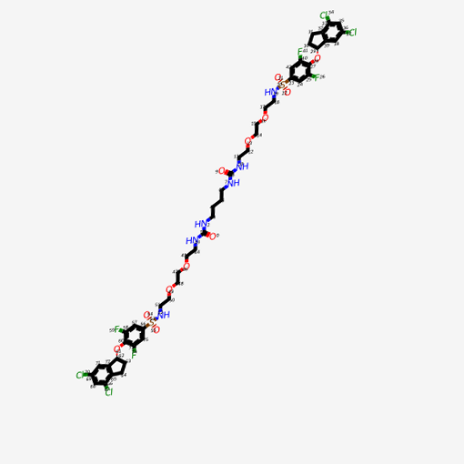 O=C(NCCCCNC(=O)NCCOCCOCCNS(=O)(=O)c1cc(F)c(O[C@@H]2CCc3c(Cl)cc(Cl)cc32)c(F)c1)NCCOCCOCCNS(=O)(=O)c1cc(F)c(O[C@@H]2CCc3c(Cl)cc(Cl)cc32)c(F)c1